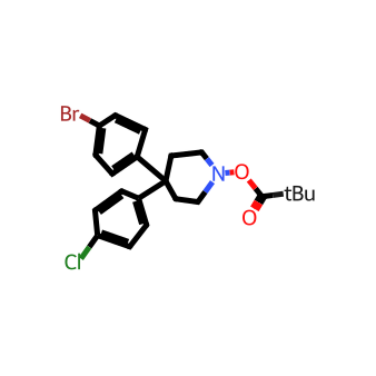 CC(C)(C)C(=O)ON1CCC(c2ccc(Cl)cc2)(c2ccc(Br)cc2)CC1